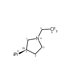 CC(C)[C@@H]1CCN(CC(F)(F)F)C1